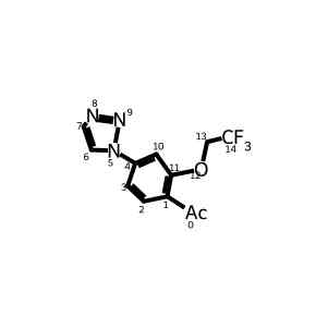 CC(=O)c1ccc(-n2ccnn2)cc1OCC(F)(F)F